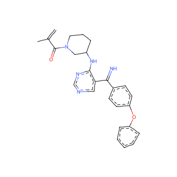 C=C(C)C(=O)N1CCCC(Nc2ncncc2C(=N)c2ccc(Oc3ccccc3)cc2)C1